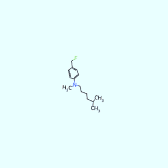 CC(C)CCCCN(C)c1ccc(CF)cc1